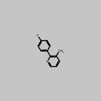 Cc1[c]ccnc1-c1ccc(F)cc1